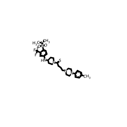 Cc1ccc(N2CCN(CCCC(=S)N3CCC(Nc4ccc(S(=O)(=O)N(C)C)c(C(F)(F)F)c4)CC3)CC2)cc1